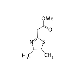 COC(=O)Cc1nc(C)c(C)s1